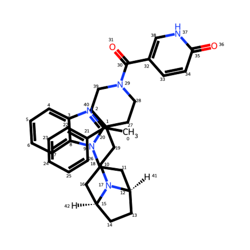 Cc1nc2ccccc2n1C1C[C@H]2CC[C@@H](C1)N2CCC1(c2ccccc2)CCN(C(=O)c2ccc(=O)[nH]c2)CC1